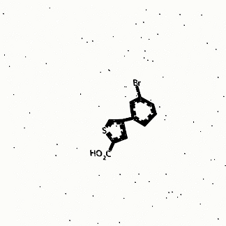 O=C(O)c1cc(-c2cccc(Br)c2)cs1